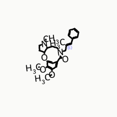 COc1cc2cc(c1OC)OC1CCN(C)C1CCN(C/C(C)=C/c1ccccc1)C2=O